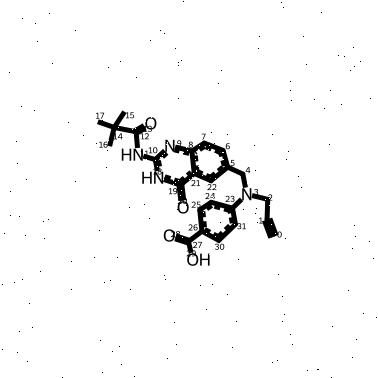 C#CCN(Cc1ccc2nc(NC(=O)C(C)(C)C)[nH]c(=O)c2c1)c1ccc(C(=O)O)cc1